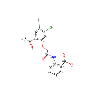 CC(=O)c1cc(F)c(Cl)cc1OCC(=O)Nc1ccccc1C(=O)O